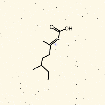 CCC(C)CC/C(C)=C/C(=O)O